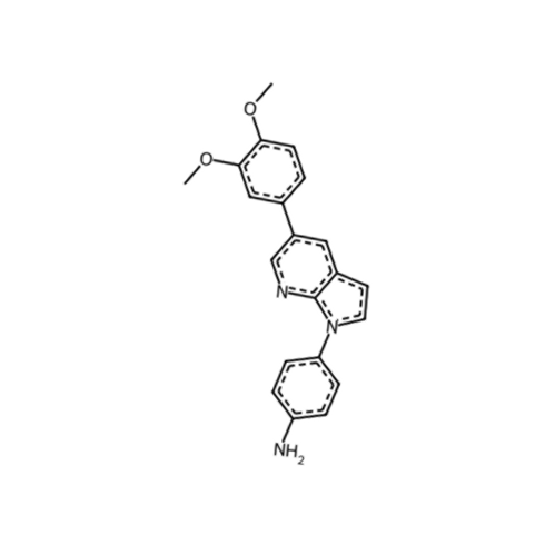 COc1ccc(-c2cnc3c(ccn3-c3ccc(N)cc3)c2)cc1OC